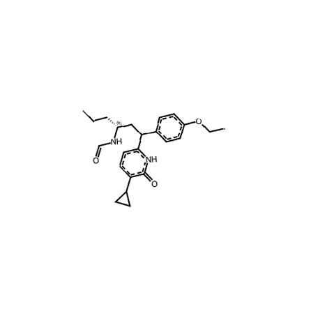 CCC[C@H](CC(c1ccc(OCC)cc1)c1ccc(C2CC2)c(=O)[nH]1)NC=O